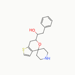 OC(Cc1ccccc1)C1Cc2sccc2C2(CCNCC2)O1